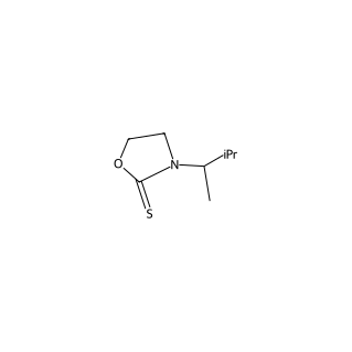 CC(C)C(C)N1CCOC1=S